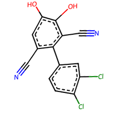 N#Cc1cc(O)c(O)c(C#N)c1-c1ccc(Cl)c(Cl)c1